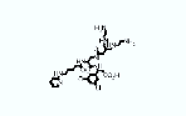 NCCNCC(CNCCN)CC(=O)NCC(NC(=O)CCCCNc1ccccn1)C(=O)NC(CC(=O)O)c1cc(Cl)cc(Cl)c1